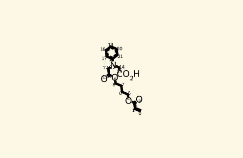 C=CC(=O)OCCCCOC(=O)CN(CC(=O)O)c1ccccc1